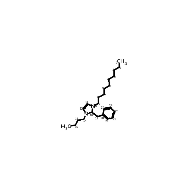 CCCCCCCCCCN1C=CN(CCCC)C1Cc1ccccc1